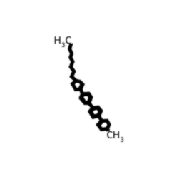 CCCCCCCCCC1CC=C(c2ccc(-c3ccc(C4=CCC(C)CC4)cc3)cc2)CC1